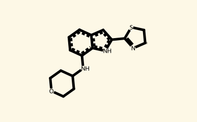 [C]1CSC(c2cc3cccc(NC4CCOCC4)c3[nH]2)=N1